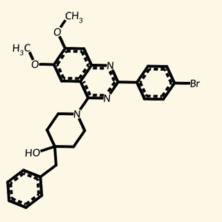 COc1cc2nc(-c3ccc(Br)cc3)nc(N3CCC(O)(Cc4ccccc4)CC3)c2cc1OC